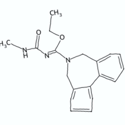 CCO/C(=N\C(=O)NC)N1Cc2ccccc2-c2ccccc2C1